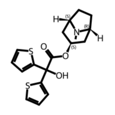 CN1[C@@H]2CC[C@H]1C[C@H](OC(=O)C(O)(c1cccs1)c1cccs1)C2